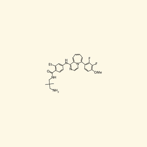 CCc1cc(NC2=NC=CN3C2=CC=CC=C3c2ccc(OC)c(F)c2F)ccc1C(=O)NCC(C)(C)CN